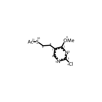 COc1nc(Cl)ncc1CCSC(C)=O